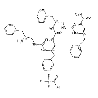 CNC(=O)NC[C@@H](Cc1ccccc1)NC(=O)NC[C@@H](Cc1ccccc1)NC(=O)NC[C@@H](Cc1ccccc1)NC(=O)NC[C@H](N)Cc1ccccc1.O=C(O)C(F)(F)F